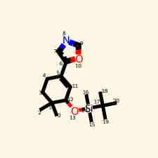 CC1(C)CCC(c2cnco2)=CC1O[Si](C)(C)C(C)(C)C